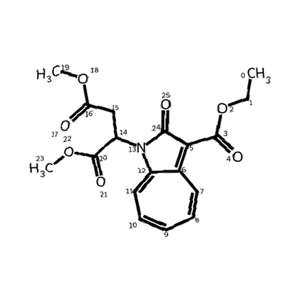 CCOC(=O)c1c2cccccc-2n(C(CC(=O)OC)C(=O)OC)c1=O